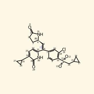 O=C1CC[C@H](/C=C(/c2ccc(S(=O)(=O)CC3CC3)c(Cl)c2)c2ccc(C3CC3)c(=O)[nH]2)N1